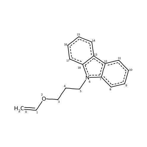 C=COCCCn1c2ccccc2c2ccccc21